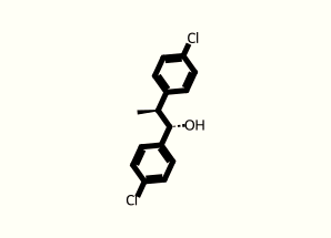 C[C@@H](c1ccc(Cl)cc1)[C@H](O)c1ccc(Cl)cc1